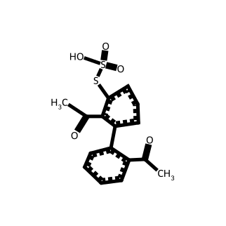 CC(=O)c1ccccc1-c1cccc(SS(=O)(=O)O)c1C(C)=O